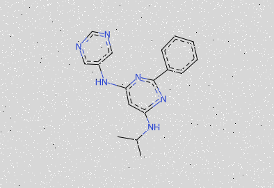 CC(C)Nc1cc(Nc2cncnc2)nc(-c2ccccc2)n1